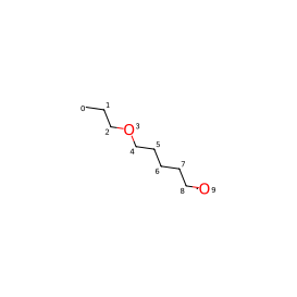 CCCOCCCCC[O]